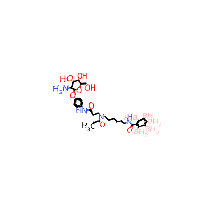 Bc1c(B)c(B)c(C(=O)NCCCCCCN(CCC(=O)Nc2ccc(OC3OC(CO)C(O)C(O)C3N)cc2)C(=O)CC)c(B)c1B